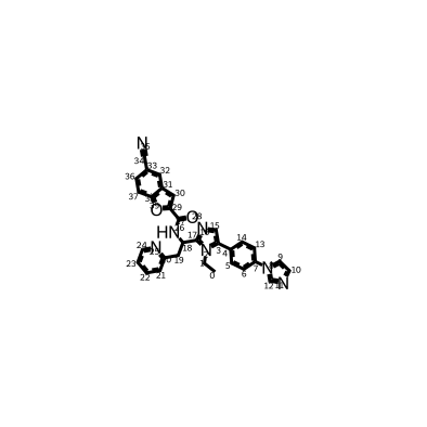 CCn1c(-c2ccc(-n3ccnc3)cc2)cnc1C(Cc1ccccn1)NC(=O)c1cc2cc(C#N)ccc2o1